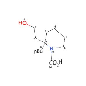 CCCCC1(CCO)CCCCN1C(=O)O